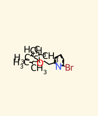 CC(C)[Si](OCCc1cccc(Br)n1)(C(C)C)C(C)C